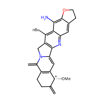 C=C1CCC2=C(C=C3c4nc5cc6c(c(N)c5c(CCCC)c4CN3C2=C)OCC6)[C@@H]1OC